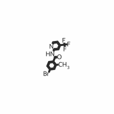 Cc1cc(Br)ccc1C(=O)Nc1cc(C(F)(F)F)ccn1